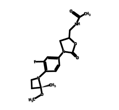 CO[C@@]1(C)CCN1c1ccc(N2CC(CNC(C)=O)OC2=O)cc1F